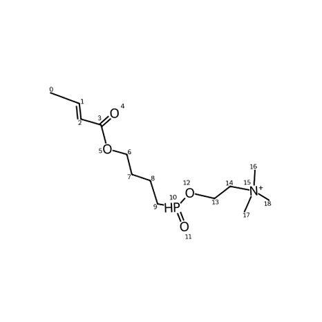 CC=CC(=O)OCCCC[PH](=O)OCC[N+](C)(C)C